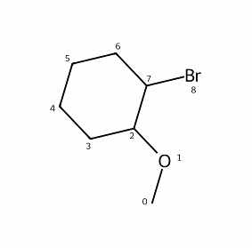 COC1CCCCC1Br